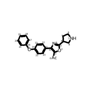 CC(=O)c1oc(C2CCNC2)nc1-c1ccc(Oc2ccccc2)cc1